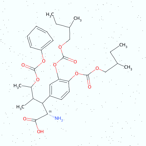 CCC(C)COC(=O)Oc1ccc(C(C(C)C(C)OC(=O)Oc2ccccc2)[C@H](N)C(=O)O)cc1OC(=O)OCC(C)CC